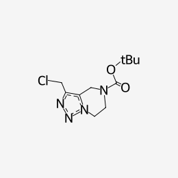 CC(C)(C)OC(=O)N1CCn2nnc(CCl)c2C1